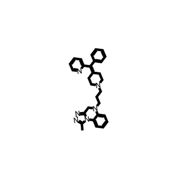 Cc1nnc2n1-c1ccccc1N(CCCN1CCC(=C(c3ccccc3)c3ccccn3)CC1)C2